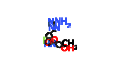 C[C@]1(O)CC[C@@H](NS(=O)(=O)c2cc(-c3cnc4c(N)nccn34)ccc2F)CC1